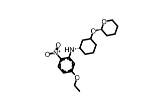 CCOc1ccc([N+](=O)[O-])c(N[C@H]2CCCC(O[C@@H]3CCCCO3)C2)c1